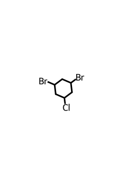 ClC1CC(Br)CC(Br)C1